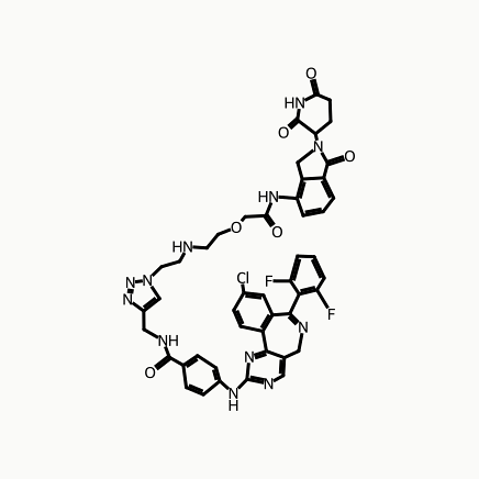 O=C1CCC(N2Cc3c(NC(=O)COCCNCCn4cc(CNC(=O)c5ccc(Nc6ncc7c(n6)-c6ccc(Cl)cc6C(c6c(F)cccc6F)=NC7)cc5)nn4)cccc3C2=O)C(=O)N1